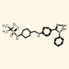 CC(C)(C)S(=O)(=O)NC1CCC(CNc2ccc(C3=NNNN3c3ccccc3)cc2)CC1